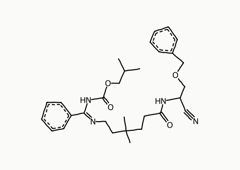 CC(C)COC(=O)NC(=NCCC(C)(C)CCC(=O)NC(C#N)COCc1ccccc1)c1ccccc1